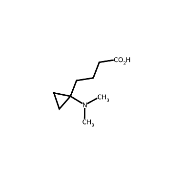 CN(C)C1(CCCC(=O)O)CC1